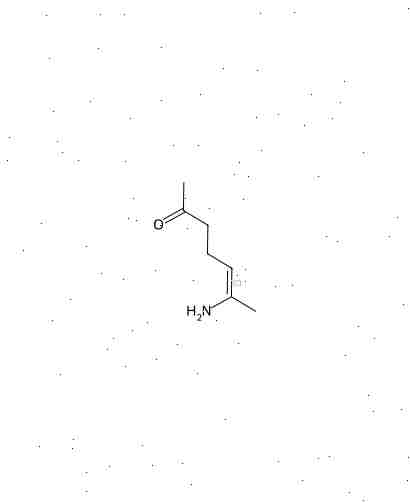 CC(=O)CC/C=C(/C)N